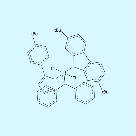 CC(C)(C)c1ccc(C2=CC=C[CH]2[Hf]([Cl])([Cl])(=[C](c2ccccc2)c2ccccc2)[CH]2c3cc(C(C)(C)C)ccc3-c3ccc(C(C)(C)C)cc32)cc1